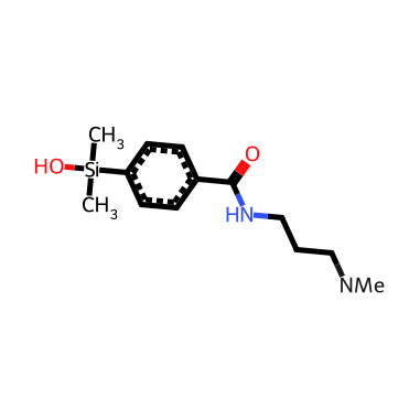 CNCCCNC(=O)c1ccc([Si](C)(C)O)cc1